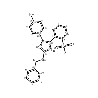 CS(=O)(=O)c1ccccc1-c1nc(SCc2ccccc2)sc1-c1ccc(F)cc1